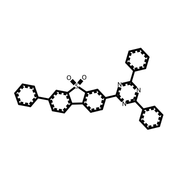 O=S1(=O)c2cc(-c3ccccc3)ccc2-c2ccc(-c3nc(-c4ccccc4)nc(-c4ccccc4)n3)cc21